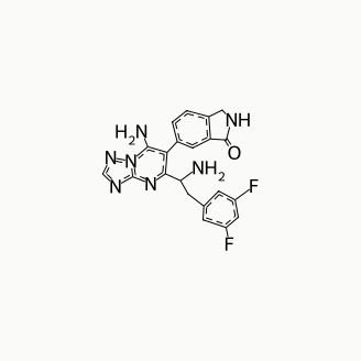 Nc1c(-c2ccc3c(c2)C(=O)NC3)c(C(N)Cc2cc(F)cc(F)c2)nc2ncnn12